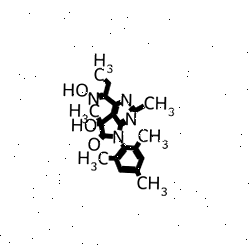 CCC(=NO)c1nc(C)nc2c1C(C)(O)C(=O)N2c1c(C)cc(C)cc1C